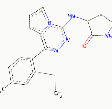 O=C1NCCC1Nc1nnc(-c2ccc(C(F)(F)F)cc2CC(F)(F)F)c2cccn12